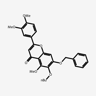 CCCCOc1c(OCc2ccccc2)cc2oc(-c3ccc(OC)c(OC)c3)cc(=O)c2c1OC